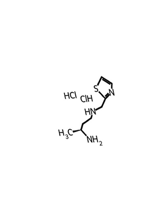 C[C@H](N)CCNCc1nccs1.Cl.Cl